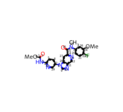 COC(=O)Nc1ccc(-n2cnc3cnc(C(=O)N(C)c4ccc(F)c(OC)c4)cc32)cn1